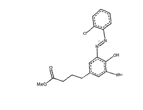 COC(=O)CCCc1cc(/N=N/c2ccccc2Cl)c(O)c(C(C)(C)C)c1